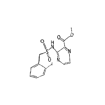 COC(=O)c1nccnc1NS(=O)(=O)Cc1ccccc1I